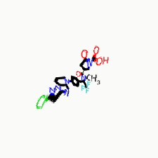 CN(C(=O)[C@@H]1CC(=O)N(C(=O)O)C1)[C@H](c1ccc(N2CCCc3c2cnc2cc(Cl)nn32)cc1)C(F)(F)F